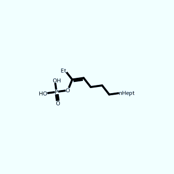 CCCCCCCCCCC=C(CC)OP(=O)(O)O